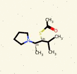 CC(=O)S[C@H](C(C)C)[C@H](C)N1CCCC1